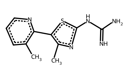 Cc1cccnc1-c1sc(NC(=N)N)nc1C